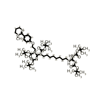 CN1CCCN=C1c1ccc(OCCN(C(=O)OC(C)(C)C)/C(=N\C(=O)OC(C)(C)C)N(CCCCCCCCN/C(=N\C(=O)OC(C)(C)C)NC(=O)OC(C)(C)C)C(=O)OC(C)(C)C)cc1